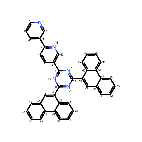 c1cncc(-c2ccc(-c3nc(-c4cc5ccccc5c5ccccc45)nc(-c4cc5ccccc5c5ccccc45)n3)cn2)c1